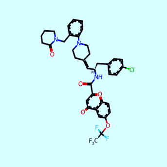 O=C(N[C@@H](C=C1CCN(c2ccccc2CN2CCCCC2=O)CC1)Cc1ccc(Cl)cc1)c1cc(=O)c2cc(OC(F)(F)C(F)(F)F)ccc2o1